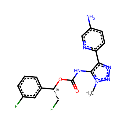 Cn1nnc(-c2ccc(N)cn2)c1NC(=O)O[C@H](CF)c1cccc(F)c1